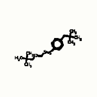 CC(C)(C)COCSSc1ccc(CC(C)(C)C)cc1